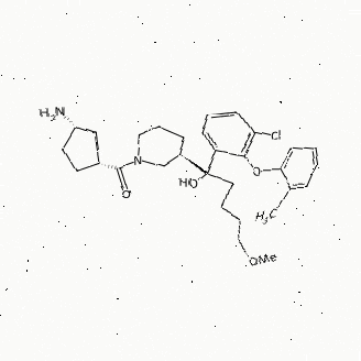 COCCCCC(O)(c1cccc(Cl)c1Oc1ccccc1C)[C@@H]1CCCN(C(=O)[C@@H]2CC[C@H](N)C2)C1